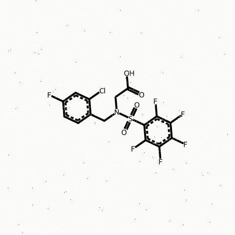 O=C(O)CN(Cc1ccc(F)cc1Cl)S(=O)(=O)c1c(F)c(F)c(F)c(F)c1F